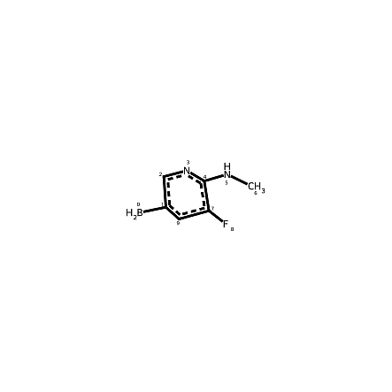 Bc1cnc(NC)c(F)c1